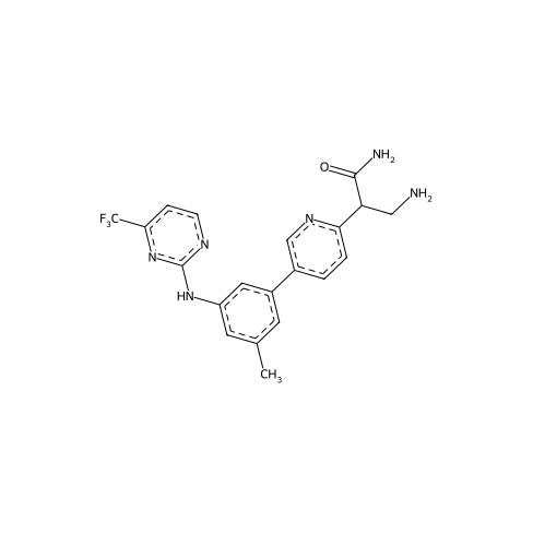 Cc1cc(Nc2nccc(C(F)(F)F)n2)cc(-c2ccc(C(CN)C(N)=O)nc2)c1